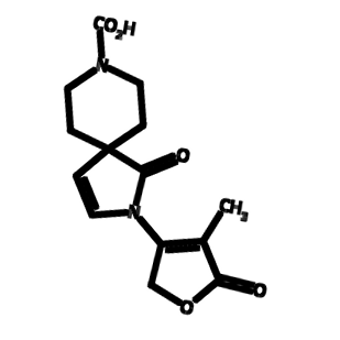 CC1=C(N2C=CC3(CCN(C(=O)O)CC3)C2=O)COC1=O